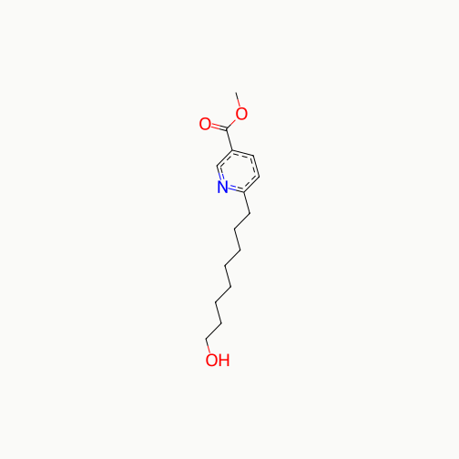 COC(=O)c1ccc(CCCCCCCCO)nc1